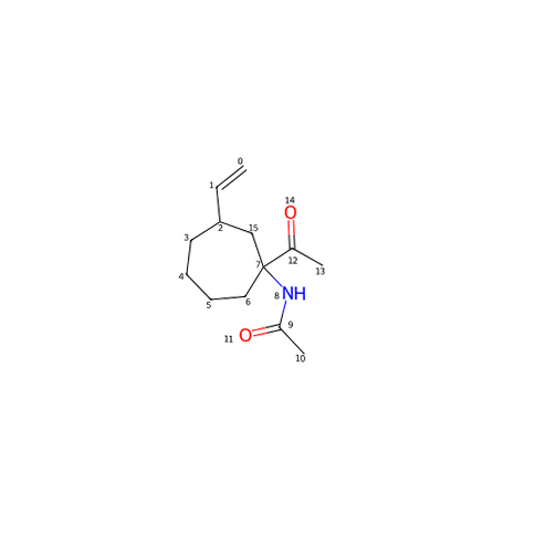 C=CC1CCCCC(NC(C)=O)(C(C)=O)C1